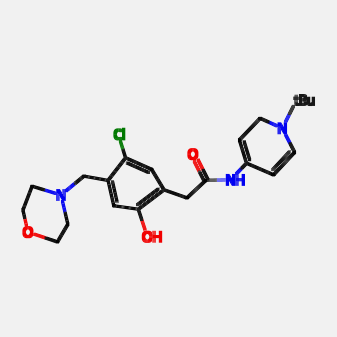 CC(C)(C)N1C=CC(NC(=O)Cc2cc(Cl)c(CN3CCOCC3)cc2O)=CC1